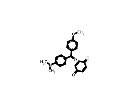 COc1ccc(C(=O)c2ccc(N(C)C)cc2)cc1.O=C1C=CC(=O)C=C1